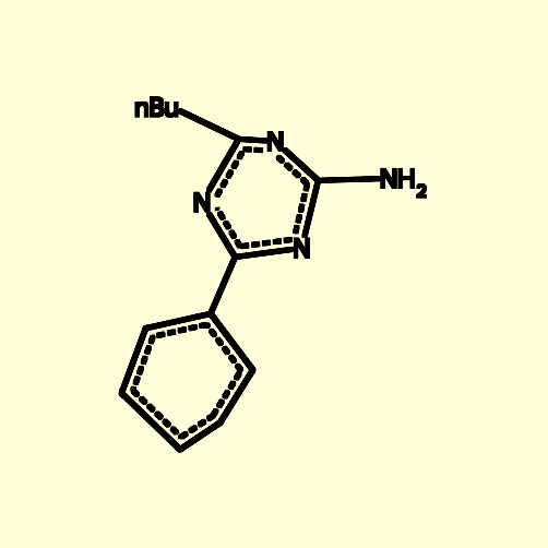 CCCCc1nc(N)nc(-c2ccccc2)n1